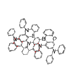 C1=C(c2ccccc2)[C@@H](N2c3cc4c(cc3B3c5ccccc5N(c5ccccc5)c5cc(N(c6ccccc6)c6ccccc6)cc2c53)B2c3ccccc3Oc3cc(N(c5ccccc5)c5ccccc5)cc(c32)N4c2ccccc2)C(c2ccccc2)CC1